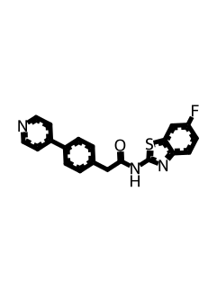 O=C(Cc1ccc(-c2ccncc2)cc1)Nc1nc2ccc(F)cc2s1